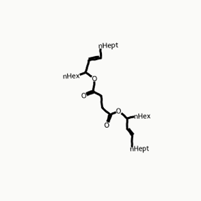 CCCCCCCC=CC(CCCCCC)OC(=O)CCC(=O)OC(C=CCCCCCCC)CCCCCC